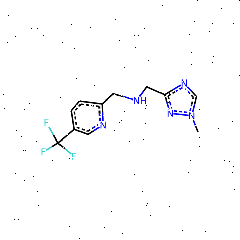 Cn1cnc(CNCc2ccc(C(F)(F)F)cn2)n1